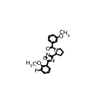 COc1cccc(C(=O)N2CCCC2c2noc(-c3cccc(F)c3OC)n2)c1